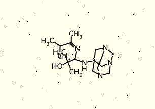 CC(=NC(NC12CN3CN(CN(C3)C1)C2)C(C)(C)O)C(C)C